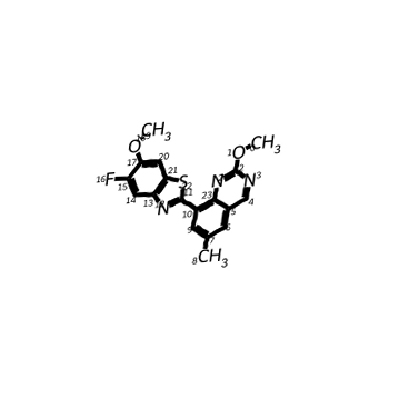 COc1ncc2cc(C)cc(-c3nc4cc(F)c(OC)cc4s3)c2n1